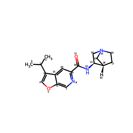 CC(C)c1coc2cnc(C(=O)N[C@H]3CN4CC[C@H]3C4)cc12